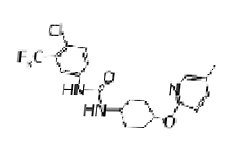 Cc1ccc(OC2CCC(NC(=O)Nc3ccc(Cl)c(C(F)(F)F)c3)CC2)nc1